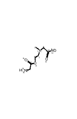 CN(CCOC(=O)CN)CC(=O)N=O